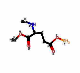 CC(C)(C)NC(CCC(=O)OP)C(=O)OC(C)(C)C